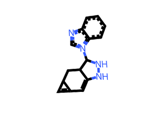 C1=C2C=C3NNC(n4cnc5ccccc54)C3CC12